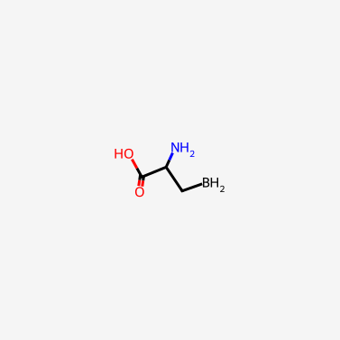 BCC(N)C(=O)O